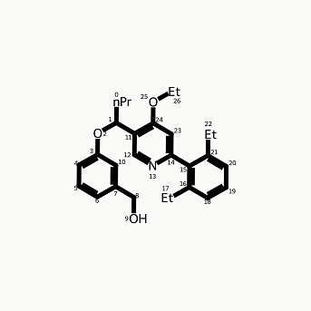 CCCC(Oc1cccc(CO)c1)c1cnc(-c2c(CC)cccc2CC)cc1OCC